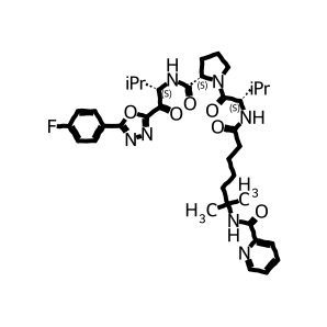 CC(C)[C@H](NC(=O)[C@@H]1CCCN1C(=O)[C@@H](NC(=O)CCCCC(C)(C)NC(=O)c1ccccn1)C(C)C)C(=O)c1nnc(-c2ccc(F)cc2)o1